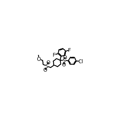 COCCS(=O)(=O)CC1CCC(c2cc(F)ccc2F)(S(=O)(=O)c2ccc(Cl)cc2)CC1